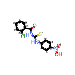 O=C(NC(=S)Nc1ccc([N+](=O)O)cc1)c1ccccc1Cl